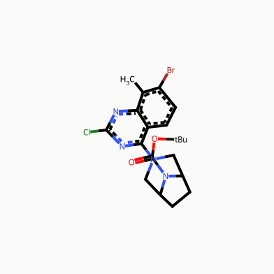 Cc1c(Br)ccc2c(N3CC4CCC(C3)N4C(=O)OC(C)(C)C)nc(Cl)nc12